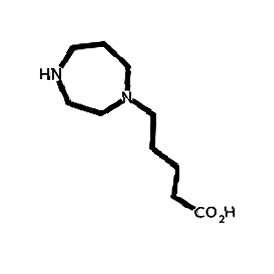 O=C(O)CCCCN1CCCNCC1